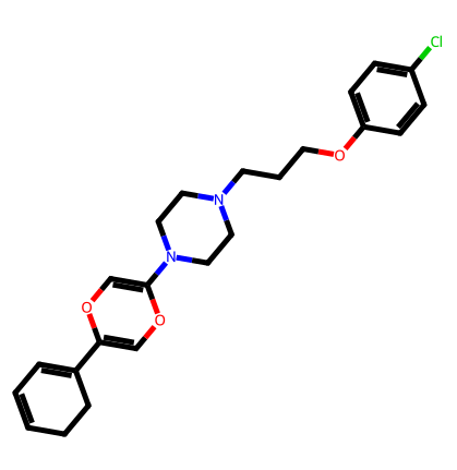 Clc1ccc(OCCCN2CCN(C3=COC(C4=CC=CCC4)=CO3)CC2)cc1